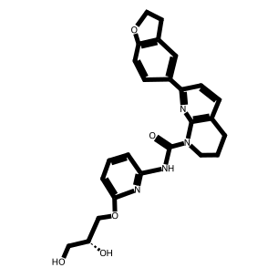 O=C(Nc1cccc(OC[C@H](O)CO)n1)N1CCCc2ccc(-c3ccc4c(c3)CCO4)nc21